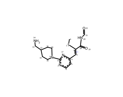 CS/C(=C\c1ccnc(N2CCC(CN)CC2)n1)C(=O)NC=O